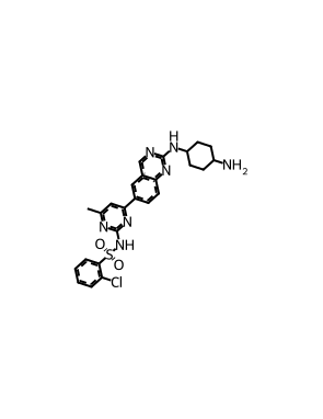 Cc1cc(-c2ccc3nc(NC4CCC(N)CC4)ncc3c2)nc(NS(=O)(=O)c2ccccc2Cl)n1